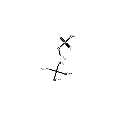 CCCCCCCCC(N)(CCCCCCCC)CCCCCCCC.COS(=O)(=O)O